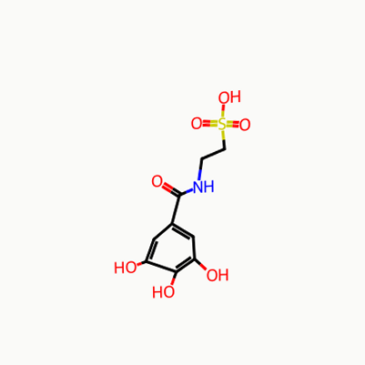 O=C(NCCS(=O)(=O)O)c1cc(O)c(O)c(O)c1